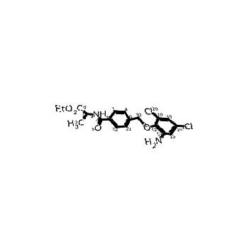 CCOC(=O)C(C)NC(=O)c1ccc(COc2c(N)cc(Cl)cc2Cl)cc1